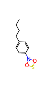 CCCCc1ccc(N2OSO2)cc1